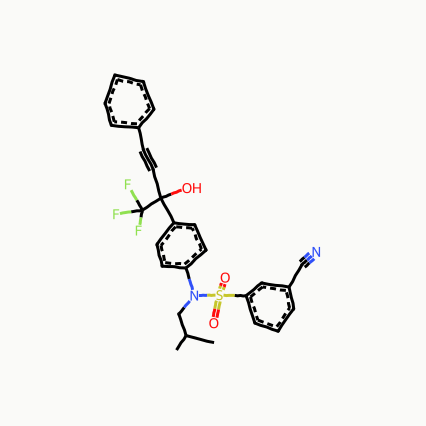 CC(C)CN(c1ccc(C(O)(C#Cc2ccccc2)C(F)(F)F)cc1)S(=O)(=O)c1cccc(C#N)c1